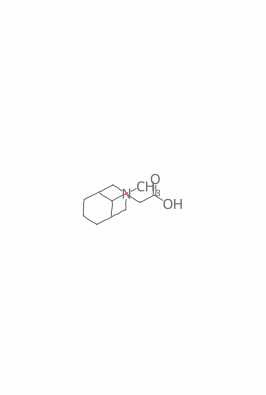 CN1CC2CCCC(C1)C2CCC(=O)O